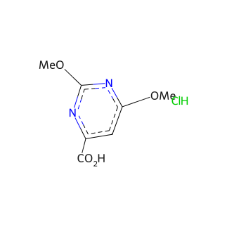 COc1cc(C(=O)O)nc(OC)n1.Cl